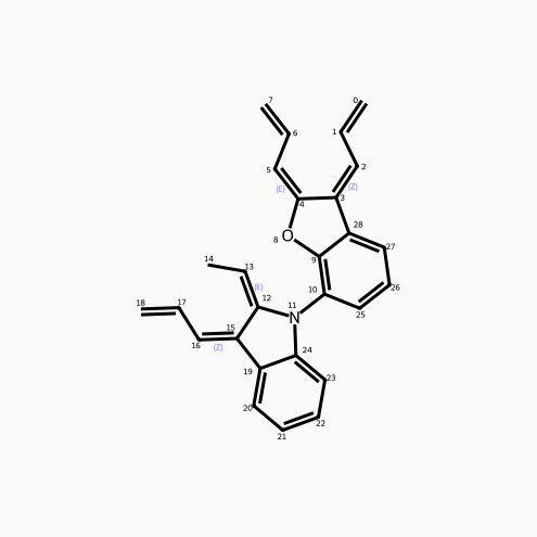 C=C/C=c1\c(=C/C=C)oc2c(-n3c(=C/C)/c(=C\C=C)c4ccccc43)cccc12